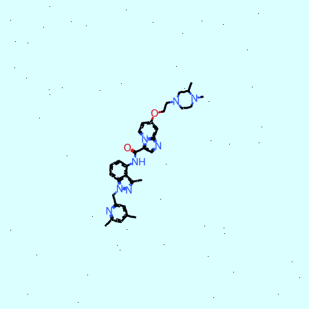 Cc1cc(C)nc(Cn2nc(C)c3c(NC(=O)c4cnc5cc(OCCN6CCN(C)C(C)C6)ccn45)cccc32)c1